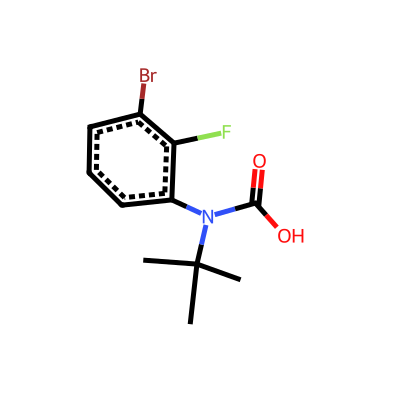 CC(C)(C)N(C(=O)O)c1cccc(Br)c1F